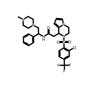 CN1CCN(CC(NC(=O)CC2c3cccn3CCN2S(=O)(=O)c2ccc(C(F)(F)F)cc2Cl)c2ccccc2)CC1